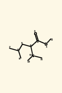 [CH2]OC(=O)C(CC(C)C)N(C)C